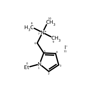 CCn1cccc1C[N+](C)(C)C.[I-]